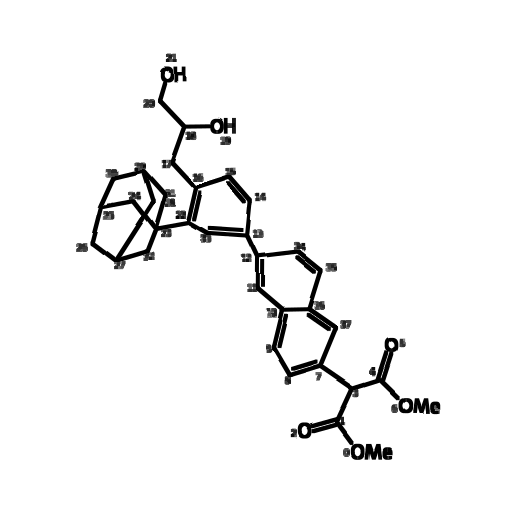 COC(=O)C(C(=O)OC)c1ccc2cc(-c3ccc(CC(O)CO)c(C45CC6CC(CC(C6)C4)C5)c3)ccc2c1